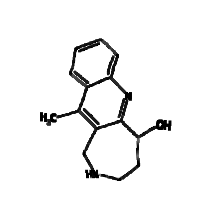 Cc1c2c(nc3ccccc13)C(O)CCNC2